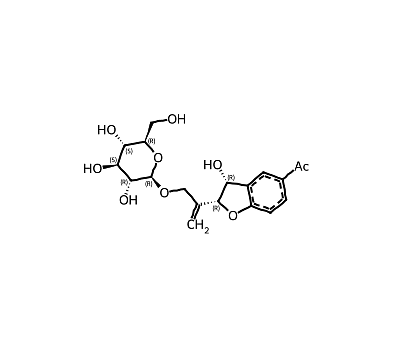 C=C(CO[C@@H]1O[C@H](CO)[C@@H](O)[C@H](O)[C@H]1O)[C@H]1Oc2ccc(C(C)=O)cc2[C@H]1O